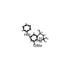 COc1cc(Nc2ccccc2)cc2c1NC(C)(C)CC2C